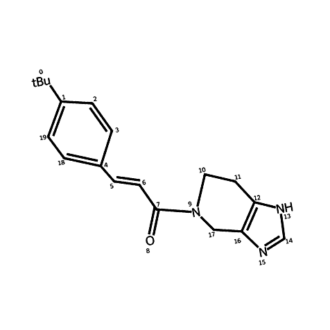 CC(C)(C)c1ccc(/C=C/C(=O)N2CCc3[nH]cnc3C2)cc1